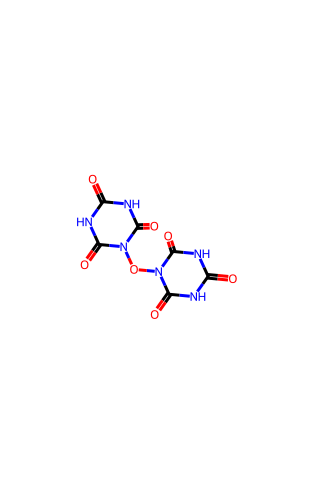 O=c1[nH]c(=O)n(On2c(=O)[nH]c(=O)[nH]c2=O)c(=O)[nH]1